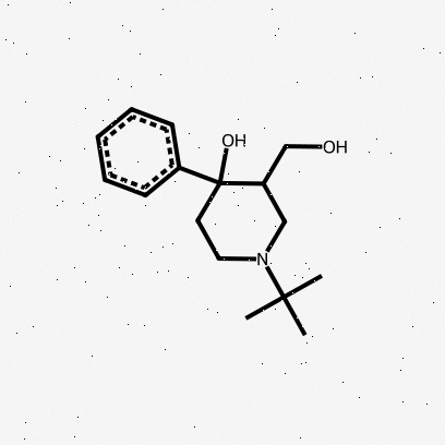 CC(C)(C)N1CCC(O)(c2ccccc2)C(CO)C1